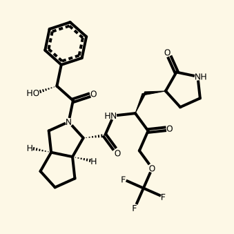 O=C1NCC[C@H]1C[C@H](NC(=O)[C@@H]1[C@H]2CCC[C@H]2CN1C(=O)[C@H](O)c1ccccc1)C(=O)COC(F)(F)F